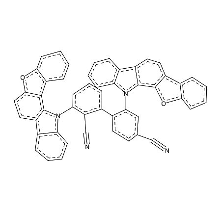 N#Cc1ccc(-c2cccc(-n3c4ccccc4c4ccc5oc6ccccc6c5c43)c2C#N)c(-n2c3ccccc3c3ccc4c5ccccc5oc4c32)c1